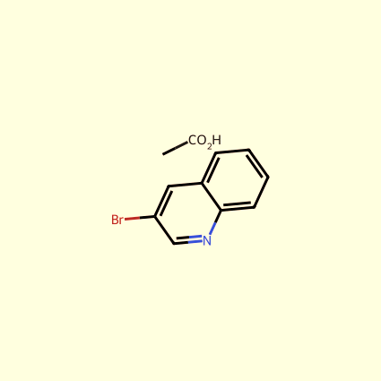 Brc1cnc2ccccc2c1.CC(=O)O